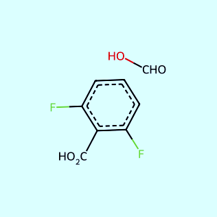 O=C(O)c1c(F)cccc1F.O=CO